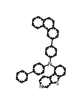 c1ccc(-c2ccc(N(c3ccc(-c4ccc5ccc6ccccc6c5c4)cc3)c3cccc4sc5cnccc5c34)cc2)cc1